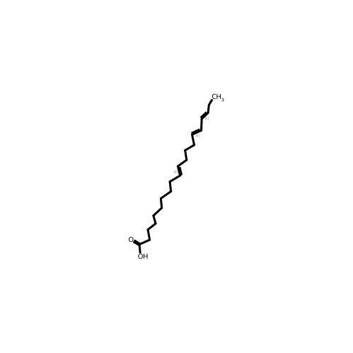 CC/C=C/C=C/CCC/C=C/CCCCCCCCC(=O)O